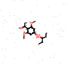 CCC(=O)CC.COc1cc(O)cc(OC)c1C(C)=O